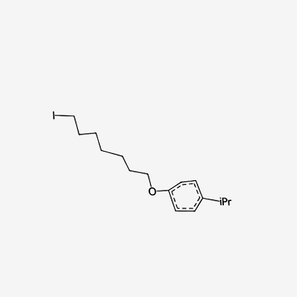 CC(C)c1ccc(OCCCCCCCI)cc1